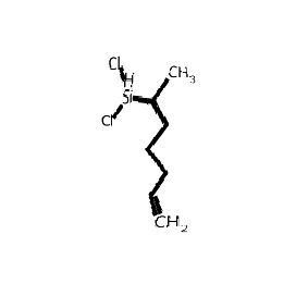 C=CCCCC(C)[SiH](Cl)Cl